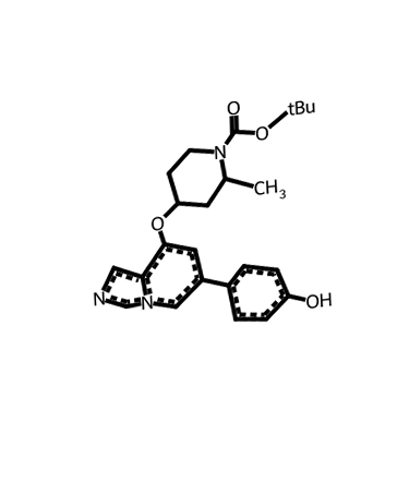 CC1CC(Oc2cc(-c3ccc(O)cc3)cn3cncc23)CCN1C(=O)OC(C)(C)C